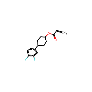 C=CC(=O)OC1CCC(c2ccc(F)c(F)c2)CC1